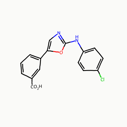 O=C(O)c1cccc(-c2cnc(Nc3ccc(Cl)cc3)o2)c1